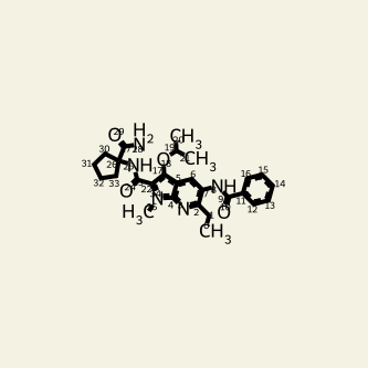 CCc1nc2c(cc1NC(=O)c1ccccc1)c(OC(C)C)c(C(=O)NC1(C(N)=O)CCCC1)n2C